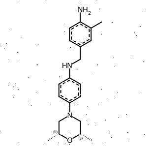 Cc1cc(CNc2ccc(N3C[C@@H](C)O[C@@H](C)C3)cc2)ccc1N